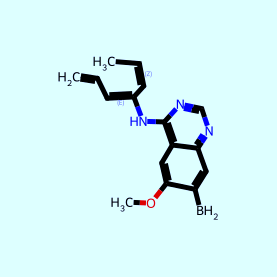 Bc1cc2ncnc(NC(/C=C\C)=C/C=C)c2cc1OC